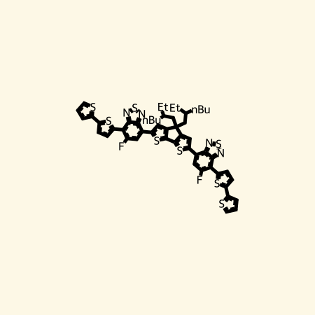 CCCCC(CC)CC1(CC(CC)CCCC)c2cc(-c3cc(F)c(-c4ccc(-c5cccs5)s4)c4nsnc34)sc2-c2sc(-c3cc(F)c(-c4ccc(-c5cccs5)s4)c4nsnc34)cc21